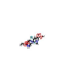 CCOC(=O)c1cn(C2CC2)c2c(F)c(N3CCOC(CN(C)C(=O)OCC)C3)c(F)cc2c1=O